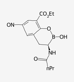 CCCC(=O)N[C@H]1Cc2cc(N=O)cc(C(=O)OCC)c2OB1O